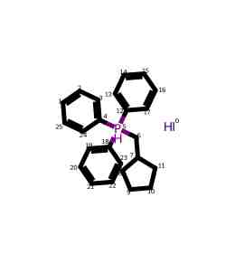 I.c1ccc([PH](CC2CCCC2)(c2ccccc2)c2ccccc2)cc1